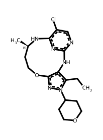 CCc1c2c(nn1C1CCOCC1)OCC[C@@H](C)Nc1nc(ncc1Cl)N2